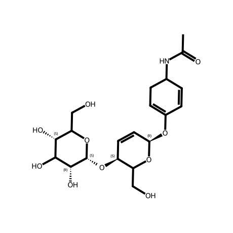 CC(=O)NC1C=CC(O[C@@H]2C=C[C@H](O[C@H]3OC(CO)[C@@H](O)C(O)[C@H]3O)C(CO)O2)=CC1